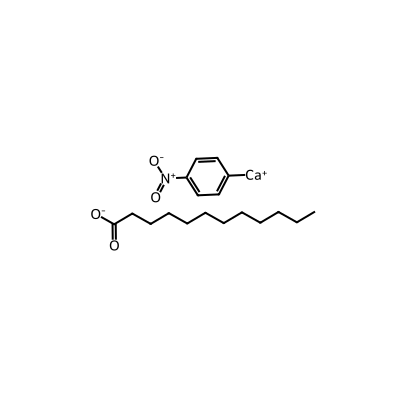 CCCCCCCCCCCC(=O)[O-].O=[N+]([O-])c1cc[c]([Ca+])cc1